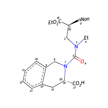 CCCCCCCCC[C@@H](CN(CC)C(=O)N1Cc2ccccc2C[C@H]1C(=O)O)C(=O)OCC